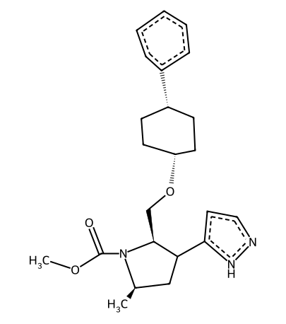 COC(=O)N1[C@H](C)CC(c2ccn[nH]2)[C@@H]1CO[C@H]1CC[C@@H](c2ccccc2)CC1